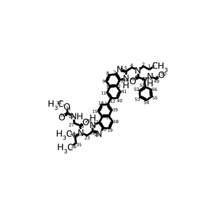 CCCN(Cc1nc2ccc3cc(-c4ccc5c(ccc6nc(CN(C(=O)CNC(=O)OC)[C@@H](C)CC)[nH]c65)c4)ccc3c2[nH]1)C(=O)[C@H](NC=O)c1ccccc1